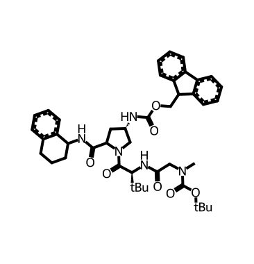 CN(CC(=O)N[C@H](C(=O)N1C[C@@H](NC(=O)OCC2c3ccccc3-c3ccccc32)CC1C(=O)NC1CCCc2ccccc21)C(C)(C)C)C(=O)OC(C)(C)C